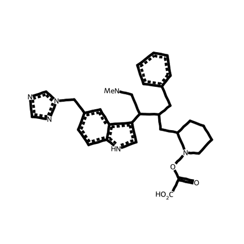 CNCC(c1c[nH]c2ccc(Cn3cncn3)cc12)C(Cc1ccccc1)CC1CCCCN1OC(=O)C(=O)O